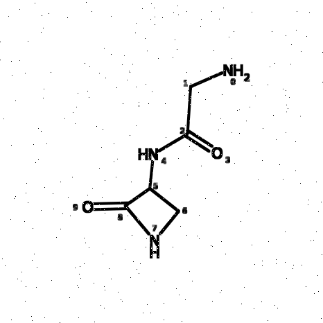 NCC(=O)NC1CNC1=O